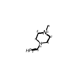 CN1CCN(C=P)CC1